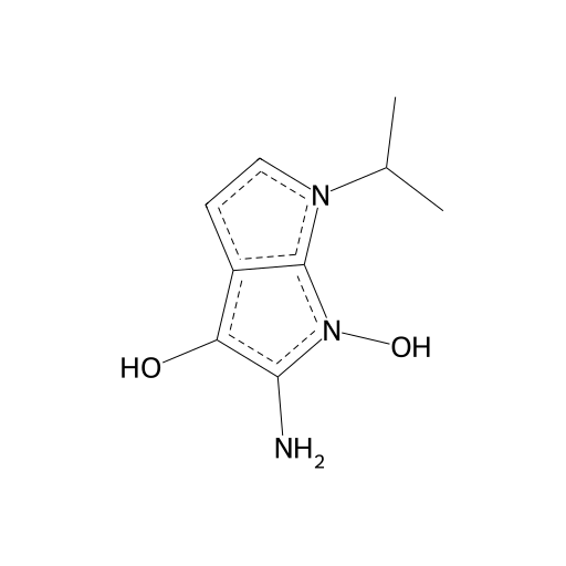 CC(C)n1ccc2c(O)c(N)n(O)c21